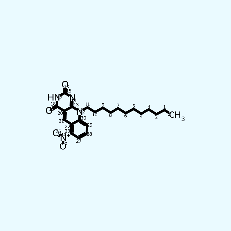 CCCCCCCCCCCCn1c2nc(=O)[nH]c(=O)c-2cc2c([N+](=O)[O-])cccc21